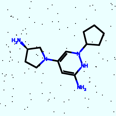 NC1=CC(N2CC[C@@H](N)C2)=CN(C2CCCC2)N1